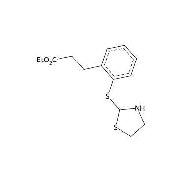 CCOC(=O)CCc1ccccc1SC1NCCS1